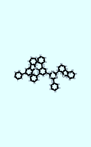 c1ccc(-c2ccc3c(c2)c2ccccc2n3-c2c(-c3ccccc3)cc(-c3nc(-c4ccccc4)nc(-c4cccc5c4oc4ccccc45)n3)cc2-c2ccccc2)cc1